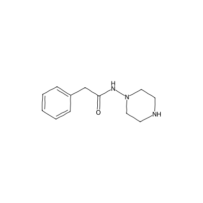 O=C(Cc1ccccc1)NN1CCNCC1